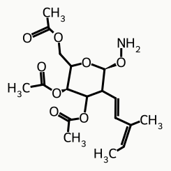 C/C=C(C)\C=C\C1C(OC(C)=O)[C@@H](OC(C)=O)C(COC(C)=O)O[C@H]1ON